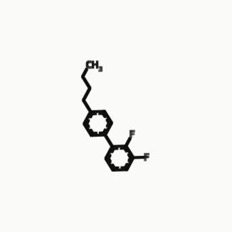 CCCCc1ccc(-c2cccc(F)c2F)cc1